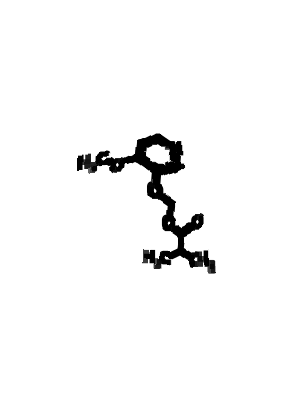 COc1ccn[c]c1OCOC(=O)C(C)C